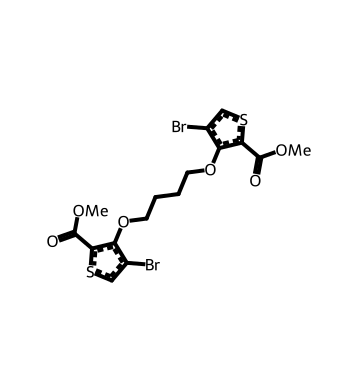 COC(=O)c1scc(Br)c1OCCCCOc1c(Br)csc1C(=O)OC